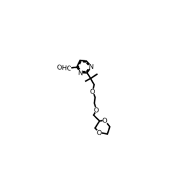 CC(C)(COCCOCC1COCCO1)c1nccc(C=O)n1